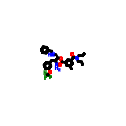 CCCN(CCC)C(=O)c1cc(C)cc(C(=O)O[C@H](CNCc2ccccc2)[C@@H](N)Cc2cccc(OC(F)(F)F)c2)c1